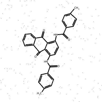 Cc1ccc(C(=O)Nc2ccc(NC(=O)c3ccc(C)cc3)c3c2C(=O)c2ccccc2C3=O)cc1